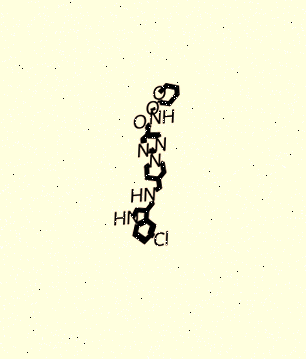 O=C(NOC1CCCCO1)c1cnc(N2CCC(CNCC3CNc4ccc(Cl)cc43)CC2)nc1